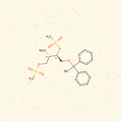 CO[C@@H](COS(C)(=O)=O)[C@H](CO[Si](c1ccccc1)(c1ccccc1)C(C)(C)C)OS(C)(=O)=O